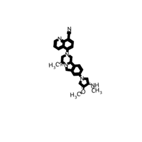 CN[C@H]1CN(c2ccc3c(c2)CN2C3CN(c3ccc(C#N)c4ncccc34)C[C@H]2C)C[C@@H]1OC